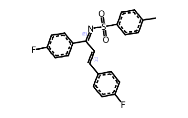 Cc1ccc(S(=O)(=O)/N=C(\C=C\c2ccc(F)cc2)c2ccc(F)cc2)cc1